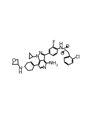 Nc1ncc(C2=CC[C@@H](NC3COC3)CC2)c2c1c(-c1ccc(NS(=O)(=O)Cc3ccccc3Cl)c(F)c1)nn2C1CC1